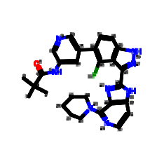 CC(C)(C)C(=O)Nc1cncc(-c2ccc3[nH]nc(-c4nc5c(N6CCCCC6)nccc5[nH]4)c3c2F)c1